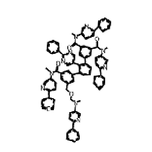 CN(COCc1cc(C(=O)N(C)c2ccc(-c3ccccc3)nc2)cc(-c2cccc(-c3cc(C(=O)N(C)c4ccc(-c5ccccc5)nc4)cc(C(=O)N(C)c4ccc(-c5ccccc5)nc4)c3)c2-c2cnc(-c3ccccc3)nc2)c1)c1ccc(-c2ccccc2)nc1